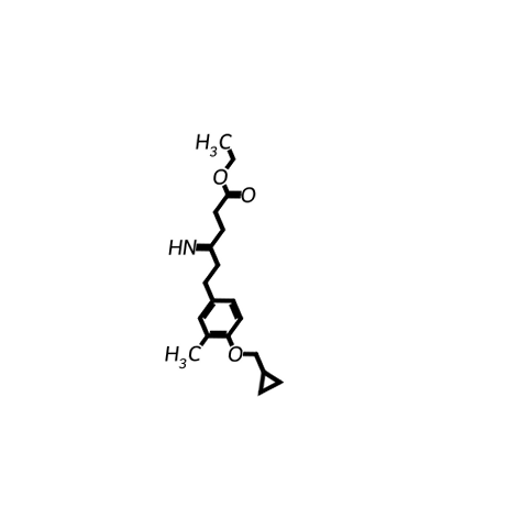 CCOC(=O)CCC(=N)CCc1ccc(OCC2CC2)c(C)c1